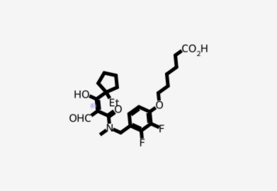 CCC1(/C(O)=C(/C=O)C(=O)N(C)Cc2ccc(OCCCCCC(=O)O)c(F)c2F)CCCC1